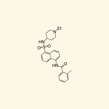 CCN1CCC(NS(=O)(=O)c2cccc3c(NC(=O)c4ccccc4C)cccc23)CC1